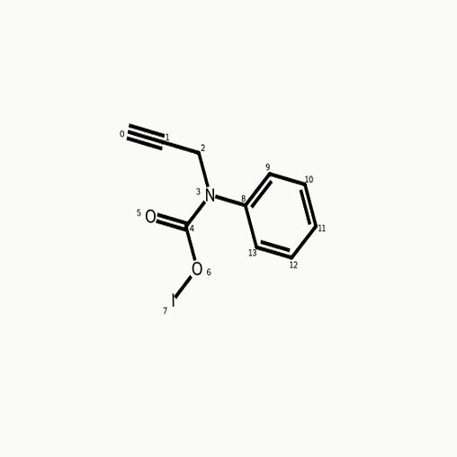 C#CCN(C(=O)OI)c1ccccc1